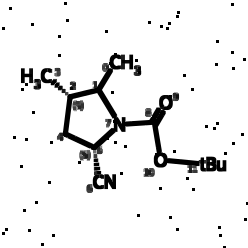 CC1[C@@H](C)C[C@@H](C#N)N1C(=O)OC(C)(C)C